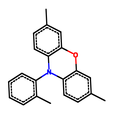 Cc1ccc2c(c1)Oc1cc(C)ccc1N2c1ccccc1C